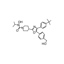 CC(C)N(O)C(=O)N1CCC(c2nc(-c3ccc(C(C)(C)C)cc3)c(-c3ccc(CO)cc3)o2)CC1